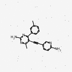 Cc1cccc(-c2nc(N)nc(C)c2C#Cc2ccc(N)nc2)c1